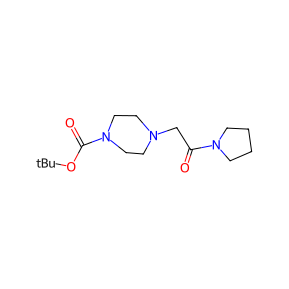 CC(C)(C)OC(=O)N1CCN(CC(=O)N2CCCC2)CC1